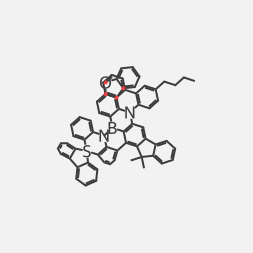 CCCCc1ccc(N2c3cc4c(c5c3B(c3ccc6oc7ccccc7c6c32)N2c3ccccc3S3(c6ccccc6-c6ccccc63)c3cccc-5c32)C(C)(C)c2ccccc2-4)c(-c2ccccc2)c1